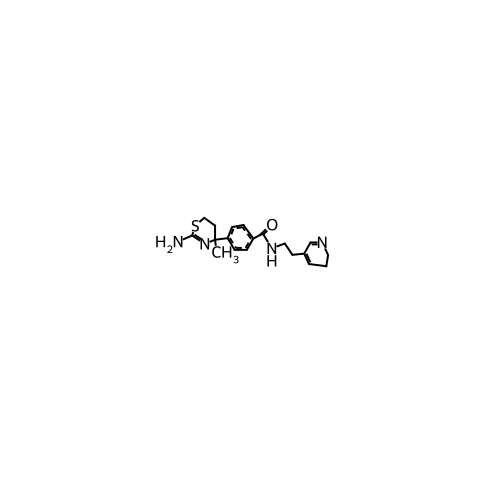 CC1(c2ccc(C(=O)NCCC3=CCCN=C3)cc2)CCSC(N)=N1